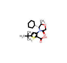 C[C@H]1OCC(=O)N(c2cc(C(C)(C)C)sc2C(=O)O)[C@@H]1C1CCCCC1